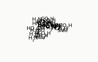 CC(C)C(N)C(=O)O.CC(C)CC(N)C(=O)O.CC(N)C(=O)O.CC(O)C(N)C(=O)O.CCC(C)C(N)C(=O)O.CSCCC(N)C(=O)O.NC(Cc1c[nH]c2ccccc12)C(=O)O.NC(Cc1c[nH]cn1)C(=O)O.NC(Cc1ccccc1)C(=O)O